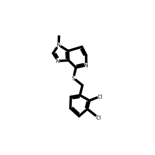 Cn1cnc2c(SCc3cccc(Cl)c3Cl)nccc21